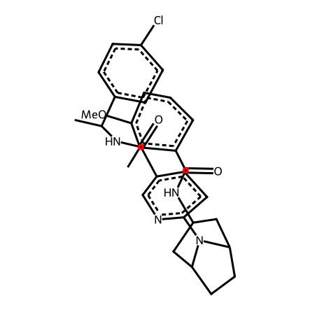 COc1cccc(C(=O)NC2CC3CCC(C2)N3c2ccc(C(=O)NC(C)c3ccc(Cl)cc3)cn2)c1C